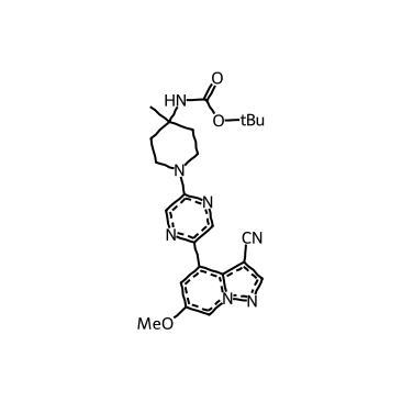 COc1cc(-c2cnc(N3CCC(C)(NC(=O)OC(C)(C)C)CC3)cn2)c2c(C#N)cnn2c1